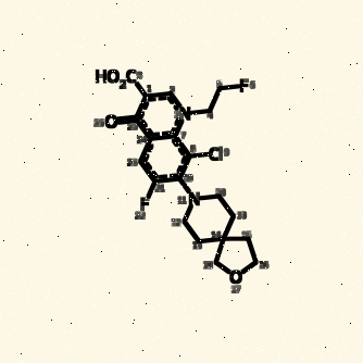 O=C(O)c1cn(CCF)c2c(Cl)c(N3CCC4(CCOC4)CC3)c(F)cc2c1=O